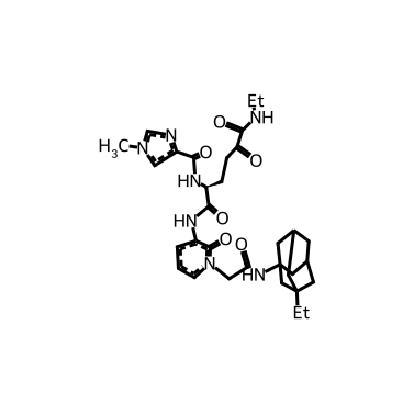 CCNC(=O)C(=O)CC[C@H](NC(=O)c1cn(C)cn1)C(=O)Nc1cccn(CC(=O)NC23CC4CC(CC(CC)(C4)C2)C3)c1=O